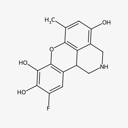 Cc1cc(O)c2c3c1Oc1c(cc(F)c(O)c1O)C3CNC2